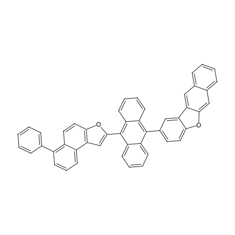 c1ccc(-c2cccc3c2ccc2oc(-c4c5ccccc5c(-c5ccc6oc7cc8ccccc8cc7c6c5)c5ccccc45)cc23)cc1